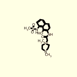 CN1CC[N+](C)(CC(=O)Nc2ccc3cccc(NS(C)(=O)=O)c3c2O)CC1